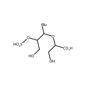 CC(C)(C)C(OC(CO)C(=O)O)C(CO)OS(=O)(=O)O